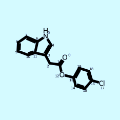 O=C(Cc1c[nH]c2ccccc12)Oc1ccc(Cl)cc1